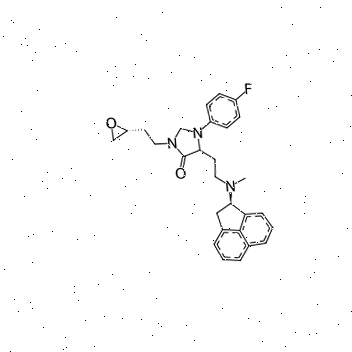 CN(CCC1C(=O)N(CC[C@@H]2CO2)CN1c1ccc(F)cc1)[C@@H]1Cc2cccc3cccc1c23